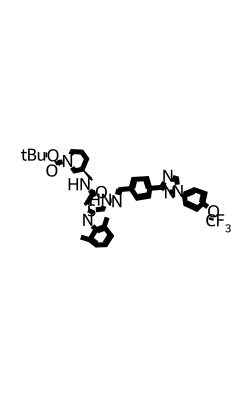 Cc1cccc(C)c1N=S(CNN=Cc1ccc(-c2ncn(-c3ccc(OC(F)(F)F)cc3)n2)cc1)CC(=O)NC[C@@H]1CCCN(C(=O)OC(C)(C)C)C1